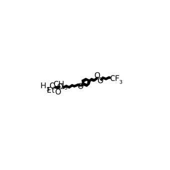 CCC(C)(C)C(=O)OCCCCCCOc1ccc(/C=C/C(=O)OCCCC(F)(F)F)cc1